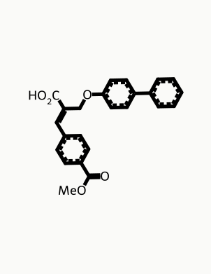 COC(=O)c1ccc(/C=C(\COc2ccc(-c3ccccc3)cc2)C(=O)O)cc1